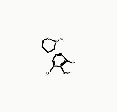 CCCCCCc1c(C)cccc1C(C)C.C[SiH]1CCCCO1